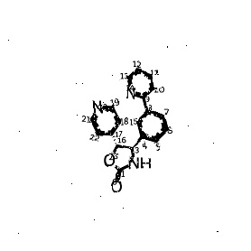 O=C1N[C@H](c2cccc(-c3ccccn3)c2)[C@@H](c2ccncc2)O1